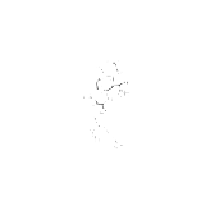 CCCCC(CC)COC(=O)CC(C(=O)O)=C(C(=O)O)C1CCCCC1